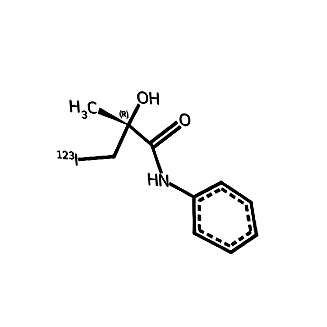 C[C@](O)(C[123I])C(=O)Nc1ccccc1